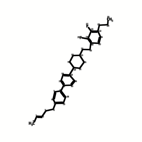 C/C=C/CCc1ccc(-c2ccc(C3CCC(CCc4ccc(CCC)c(F)c4F)CC3)cc2)cc1